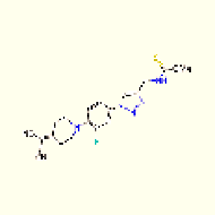 COC(=S)NCc1cn(-c2ccc(N3CCC(=C(C#N)C#N)CC3)c(F)c2)nn1